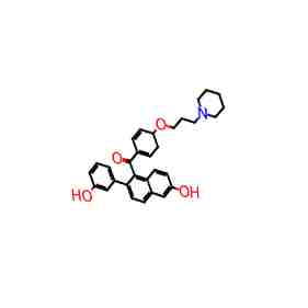 O=C(C1=CCC(OCCCN2CCCCC2)C=C1)c1c(-c2cccc(O)c2)ccc2cc(O)ccc12